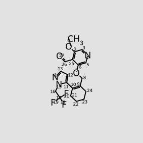 COc1cncc(OCC2=C(c3ccnn3CC(F)(F)F)CCCC2)c1C=O